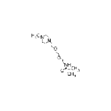 CC(C)C(=O)NCCOCCOCCN1CCN(C)CC1